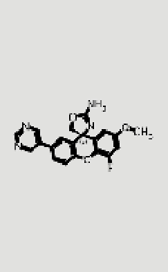 COc1cc(F)c2c(c1)[C@]1(COC(N)=N1)c1cc(-c3cncnc3)ccc1O2